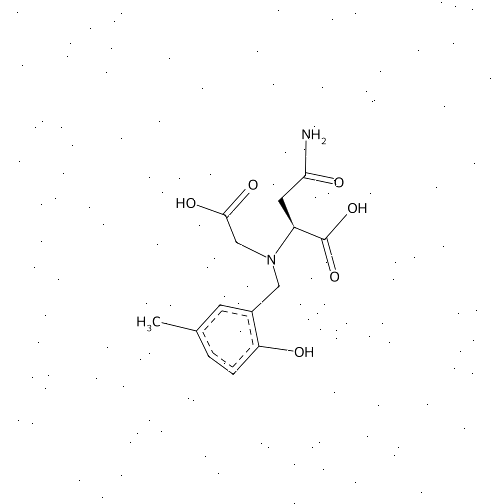 Cc1ccc(O)c(CN(CC(=O)O)[C@@H](CC(N)=O)C(=O)O)c1